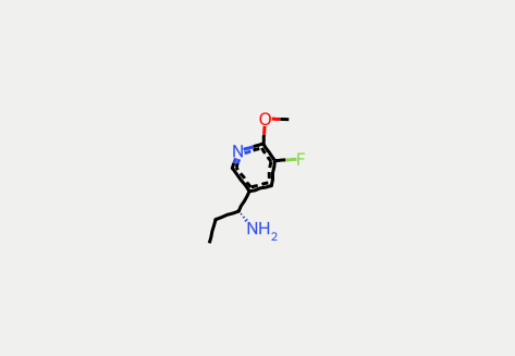 CC[C@@H](N)c1cnc(OC)c(F)c1